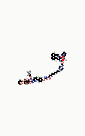 C#Cc1c(F)ccc2cccc(-c3ncc4c(N5CC6CCC(C5)N6C(=O)OC(C)(C)C)nc(OCCN5CCN(CCCCCCCCC(=O)NCCOc6ccc(-c7nc8nc(O[C@@H]9CO[C@H]%10[C@@H]9OC[C@H]%10OC9CCCCO9)n(COCC[Si](C)(C)C)c8cc7Cl)cc6)CC5)nc4c3F)c12